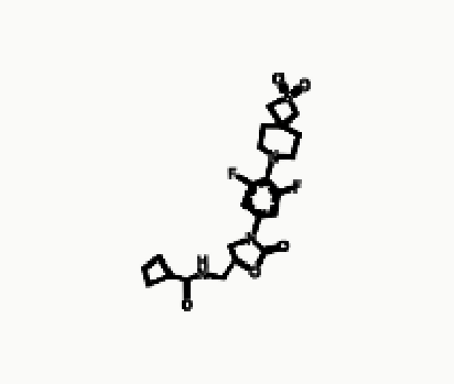 O=C(NC[C@H]1CN(c2cc(F)c(N3CCC4(CC3)CS(=O)(=O)C4)c(F)c2)C(=O)O1)C1CCC1